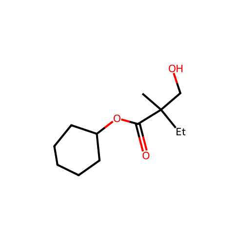 CCC(C)(CO)C(=O)OC1CCCCC1